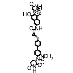 Cn1c(=O)n(C2CCC(=O)NC2=O)c2ccc(-c3ccc(C[C@@H]4C[C@H]4C(=O)Nc4ccc5c(F)c(N6CC(=O)NS6(=O)=O)c(O)cc5c4)cc3)cc21